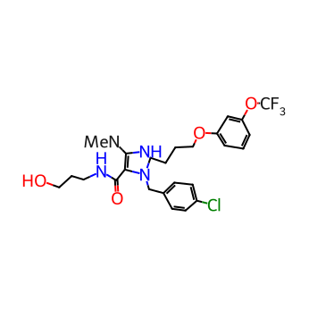 CNC1=C(C(=O)NCCCO)N(Cc2ccc(Cl)cc2)C(CCCOc2cccc(OC(F)(F)F)c2)N1